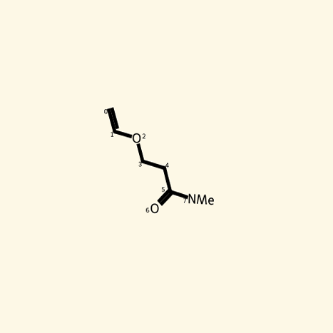 C=COCCC(=O)NC